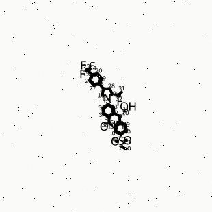 CCS(=O)(=O)c1ccc([C@@H](CO)c2cc(N3CC(c4ccc(C(F)(F)F)cc4)C[C@H]3C(C)F)ccc2C(N)=O)cc1